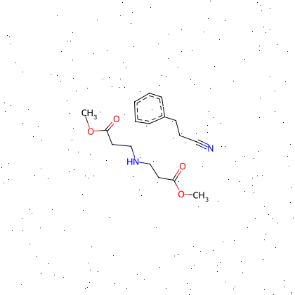 COC(=O)CCNCCC(=O)OC.N#CCCc1ccccc1